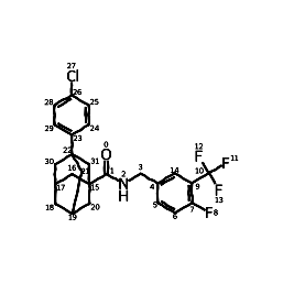 O=C(NCc1ccc(F)c(C(F)(F)F)c1)C12CC3CC(C1)CC(c1ccc(Cl)cc1)(C3)C2